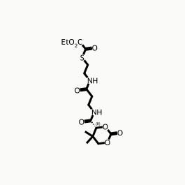 CCOC(=O)C(=O)SCCNC(=O)CCNC(=O)[C@@H]1OC(=O)OCC1(C)C